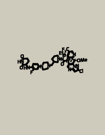 CCON(C(=O)N(c1cncc(C(F)(F)F)c1)c1cnc2cc(Cl)nn2c1[C@H](C)OC)N1CCCC(CN2CCN(c3ccc(NC4CCC(=O)NC4=O)c(F)c3)CC2)C1